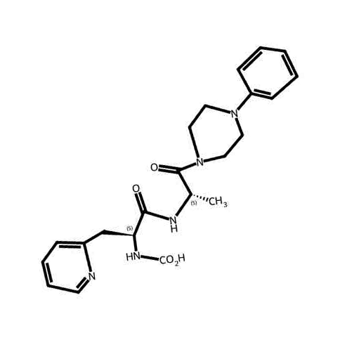 C[C@H](NC(=O)[C@H](Cc1ccccn1)NC(=O)O)C(=O)N1CCN(c2ccccc2)CC1